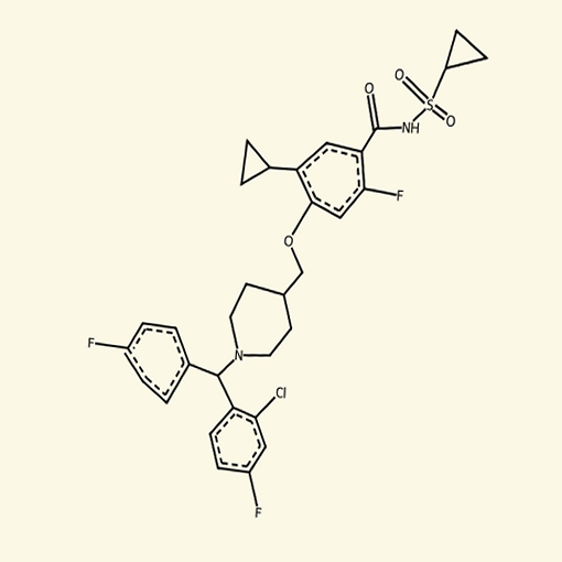 O=C(NS(=O)(=O)C1CC1)c1cc(C2CC2)c(OCC2CCN(C(c3ccc(F)cc3)c3ccc(F)cc3Cl)CC2)cc1F